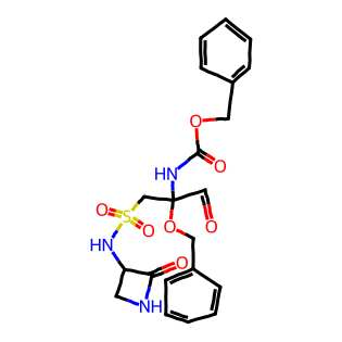 O=CC(CS(=O)(=O)NC1CNC1=O)(NC(=O)OCc1ccccc1)OCc1ccccc1